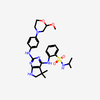 COC1CN(c2ccc(Nc3nc4c(c(Nc5ccccc5S(=O)(=O)NC(C)C)n3)C(C)(C)CN4)cc2)CCO1